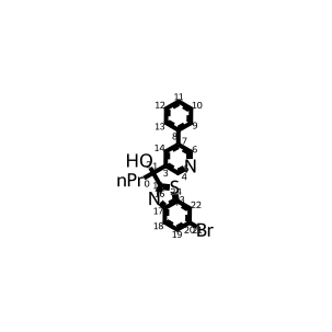 CCCC(O)(c1cncc(-c2ccccc2)c1)c1nc2ccc(Br)cc2s1